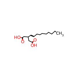 CCCCCCCC/C=C/C(CC(=O)O)CC(=O)O